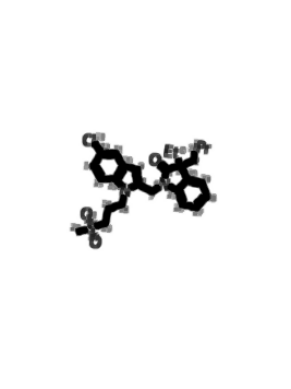 CCC1(CC(C)C)C(=O)N(Cc2cc3cc(Cl)ccc3n2CCCS(C)(=O)=O)c2ccccc21